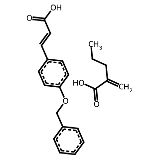 C=C(CCC)C(=O)O.O=C(O)C=Cc1ccc(OCc2ccccc2)cc1